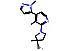 BC1(C)CCN(c2nccc(-c3ccnn3C)c2C)C1